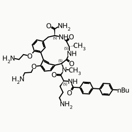 CCCCc1ccc(-c2ccc(C(=O)N[C@@H](CCCN)C(=O)N(C)[C@@H]3C(=O)N[C@@H](C)C(=O)N[C@H](C(N)=O)Cc4ccc(OCCN)c(c4)-c4cc3ccc4OCCN)cc2)cc1